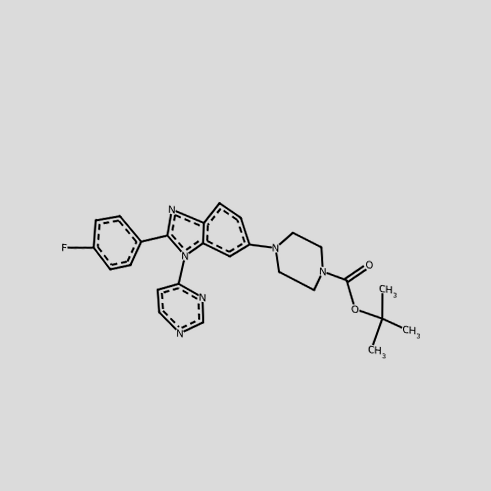 CC(C)(C)OC(=O)N1CCN(c2ccc3nc(-c4ccc(F)cc4)n(-c4ccncn4)c3c2)CC1